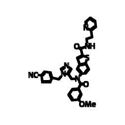 COc1cccc(C(=O)N(Cc2cncn2Cc2ccc(C#N)cc2)c2ccc3sc(C(=O)NCCc4ccccn4)cc3c2)c1